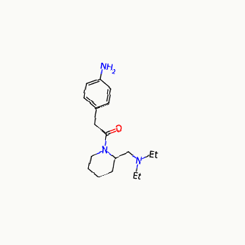 CCN(CC)CC1CCCCN1C(=O)Cc1ccc(N)cc1